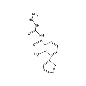 Cc1c(C(=O)NC(=O)NNN)cccc1-c1ccccc1